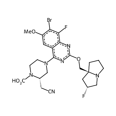 COc1cc2c(N3CCN(C(=O)O)[C@@H](CC#N)C3)nc(OC[C@@]34CCCN3C[C@H](F)C4)nc2c(F)c1Br